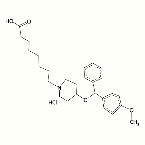 COc1ccc(C(OC2CCN(CCCCCCCC(=O)O)CC2)c2ccccc2)cc1.Cl